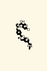 Cc1nnc(-c2cncc(CN(C)C(=O)c3ccc(C[C@@H]4CC[C@H]([C@H](O)c5ccc(Cl)nc5)N4)cc3)c2)o1